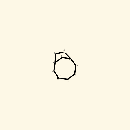 C1CNCC2COC(C1)C2